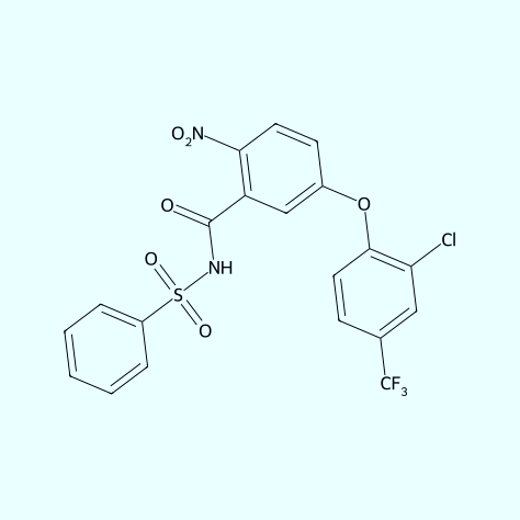 O=C(NS(=O)(=O)c1ccccc1)c1cc(Oc2ccc(C(F)(F)F)cc2Cl)ccc1[N+](=O)[O-]